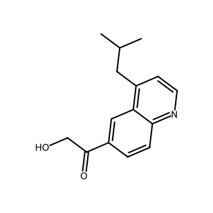 CC(C)Cc1ccnc2ccc(C(=O)CO)cc12